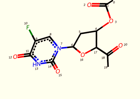 CC(=O)OC1CC(n2cc(F)c(=O)[nH]c2=O)OC1C(C)=O